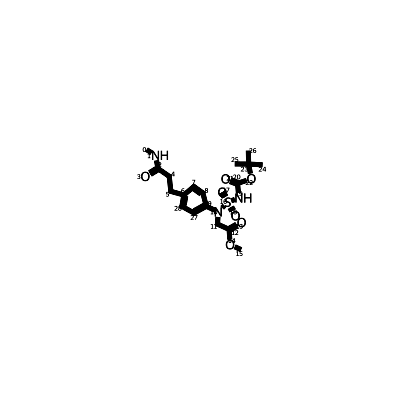 CNC(=O)CCc1ccc(N(CC(=O)OC)S(=O)(=O)NC(=O)OC(C)(C)C)cc1